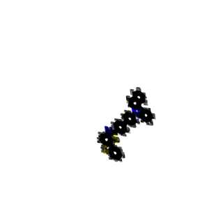 c1ccc2c(c1)ccc1c2c2ccccc2n1-c1ccc(-c2ccc(-c3nc4ccc5sc6ccccc6c5c4s3)cc2)cc1